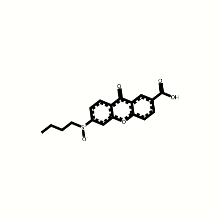 CCCC[S+]([O-])c1ccc2c(=O)c3cc(C(=O)O)ccc3oc2c1